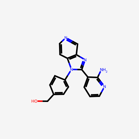 Nc1ncccc1-c1nc2cnccc2n1-c1ccc(CO)cc1